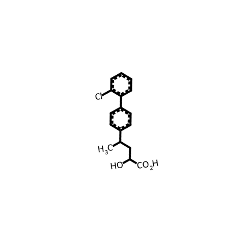 CC(CC(O)C(=O)O)c1ccc(-c2ccccc2Cl)cc1